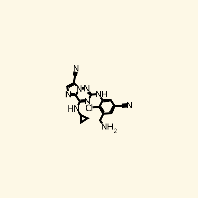 N#Cc1cc(CN)c(Cl)c(Nc2nc(NC3CC3)c3ncc(C#N)n3n2)c1